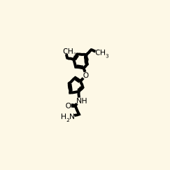 CCc1cc(CC)cc(Oc2cccc(NC(=O)CN)c2)c1